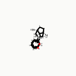 c1ccc(O[C@H]2[C@@H]3CC[C@H]2CN(c2ccccn2)C3)cc1